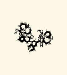 COC(=O)[C@@H]1CCC[C@@H]2SCC[C@H](NC(=O)[C@H](CC[C@H](Cc3ccccc3)C(=O)N[C@@H]3CCS[C@@H]4CCC[C@@H](C(=O)OC)N4C3=O)Cc3ccccc3)C(=O)N21